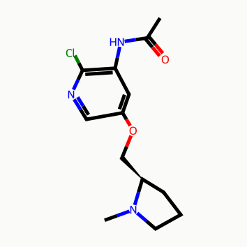 CC(=O)Nc1cc(OC[C@H]2CCCN2C)cnc1Cl